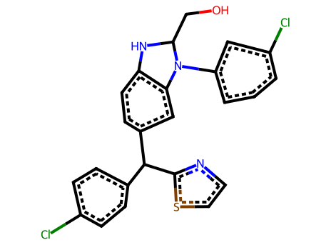 OCC1Nc2ccc(C(c3ccc(Cl)cc3)c3nccs3)cc2N1c1cccc(Cl)c1